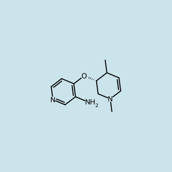 CC1C=CN(C)C[C@@H]1Oc1ccncc1N